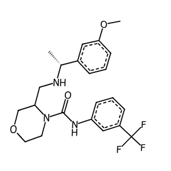 COc1cccc([C@@H](C)NCC2COCCN2C(=O)Nc2cccc(C(F)(F)F)c2)c1